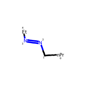 CCCCN=NCC